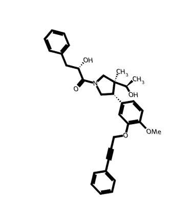 COc1ccc([C@@H]2CN(C(=O)[C@@H](O)Cc3ccccc3)C[C@@]2(C)[C@@H](C)O)cc1OCC#Cc1ccccc1